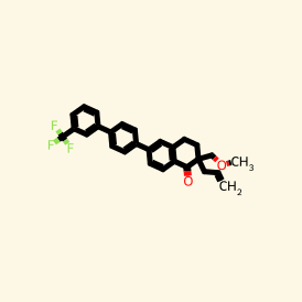 C=CCC1(COC)CCc2cc(-c3ccc(-c4cccc(C(F)(F)F)c4)cc3)ccc2C1=O